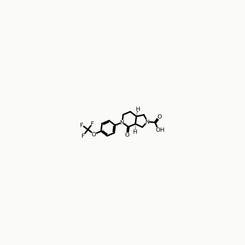 O=C(O)N1C[C@@H]2CCN(c3ccc(OC(F)(F)F)cc3)C(=O)[C@@H]2C1